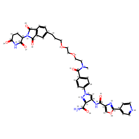 CN(CCOCCOCCCc1ccc2c(c1)C(=O)N(C1CCC(=O)NC1=O)C2=O)C(=O)c1ccc(-n2cc(NC(=O)c3coc(-c4ccncc4)n3)c(C(N)=O)n2)cc1